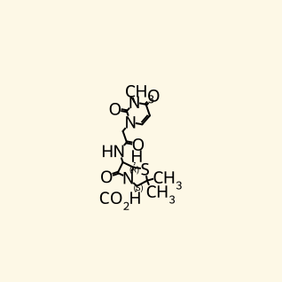 Cn1c(=O)ccn(CC(=O)NC2C(=O)N3[C@@H]2SC(C)(C)[C@@H]3C(=O)O)c1=O